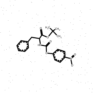 CC(C)(C)OC(=O)C(Cc1ccccc1)NC(=O)Oc1ccc([N+](=O)[O-])cc1